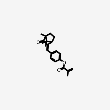 C=C(C)C(=O)Oc1ccc(C=C2C(=O)C3(C)CCC2C3(C)C)cc1